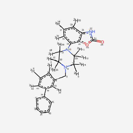 [2H]c1c([2H])c(CN2C([2H])([2H])C([2H])([2H])N(c3c([2H])c([2H])c([2H])c4[nH]c(=O)oc34)C([2H])([2H])C2([2H])[2H])c([2H])c(-c2ccccc2)c1[2H]